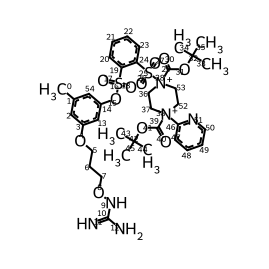 Cc1cc(OCCCONC(=N)N)cc(OS(=O)(=O)c2ccccc2S(=O)(=O)[N+]2(C(=O)OC(C)(C)C)CC[N+](C(=O)OC(C)(C)C)(c3ccccn3)CC2)c1